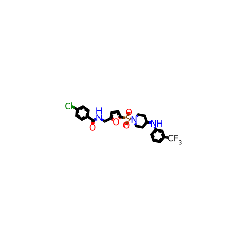 O=C(NCc1ccc(S(=O)(=O)N2CCC(Nc3cccc(C(F)(F)F)c3)CC2)o1)c1ccc(Cl)cc1